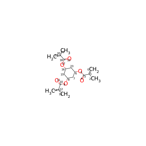 C=C(C)C(=O)OC1CC(OC(=O)C(=C)C)CC(OC(=O)C(=C)C)C1